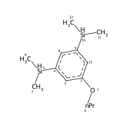 CCCOc1cc([SiH](C)C)cc([SiH](C)C)c1